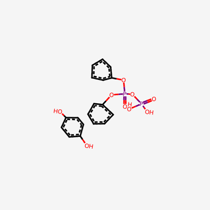 O=P(O)(O)OP(=O)(Oc1ccccc1)Oc1ccccc1.Oc1ccc(O)cc1